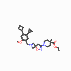 CCOC(=O)C1(C)CCN(C2=NOC3(C2)CN(Cc2cc(C4CC4)c(C4CCC4)cc2OC)C3)CC1